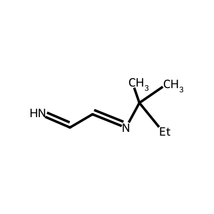 CCC(C)(C)N=CC=N